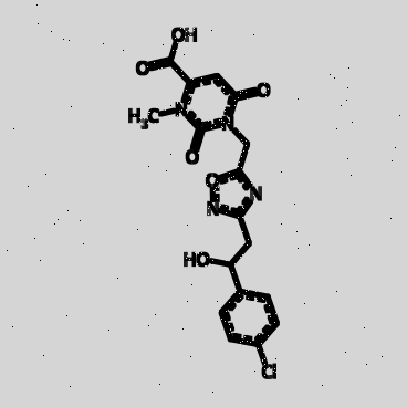 Cn1c(C(=O)O)cc(=O)n(Cc2nc(CC(O)c3ccc(Cl)cc3)no2)c1=O